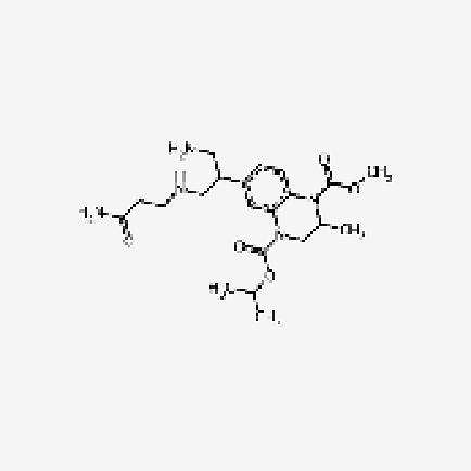 COC(=O)N1c2ccc(C(CN)CNCCC(N)=O)cc2N(C(=O)OC(C)C)C[C@@H]1C